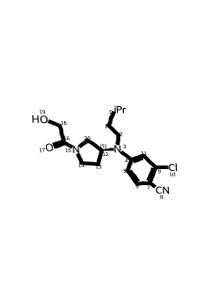 CC(C)CCN(c1ccc(C#N)c(Cl)c1)[C@H]1CCN(C(=O)CO)C1